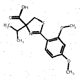 COc1ccc(C2=NC(C(=O)O)(C(C)C)CS2)c(OC)c1